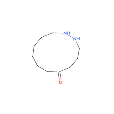 O=C1CCCCCCNNCCC1